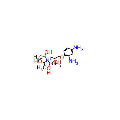 CC(O)[N+](CC(O)COc1ccc(N)cc1N)(C(C)O)C(C)O